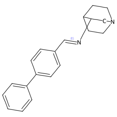 C(=N\C1CN2CCC1CC2)/c1ccc(-c2ccccc2)cc1